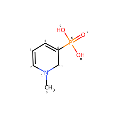 CN1C=CC=C(P(=O)(O)O)C1